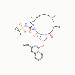 CC[C@H]1CC(=O)N2C[C@H](Oc3nc(OC)cc4ccccc34)C[C@H]2C(=O)N[C@]2(C(=O)NS(=O)(=O)C3(CF)CC3)C[C@H]2/C=C\CC[C@@H](C)C1